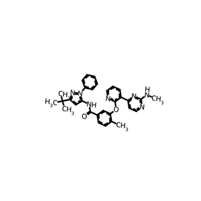 CNc1nccc(-c2cccnc2Oc2cc(C(=O)Nc3cc(C(C)(C)C)nn3-c3ccccc3)ccc2C)n1